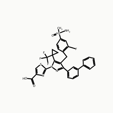 C[SH](N)(=O)c1ccc(Cc2c(-c3cccc(-c4ccccc4)c3)nn(-c3nc(C(=O)O)cs3)c2C2(C(F)(F)F)CC2)c(F)c1